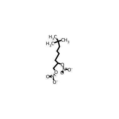 CC(C)(C)CCCCC(CO[N+](=O)[O-])O[N+](=O)[O-]